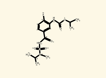 CC(C)OC(=O)Nc1cc(C(=O)NS(=O)(=O)N(C)C(C)C)ccc1F